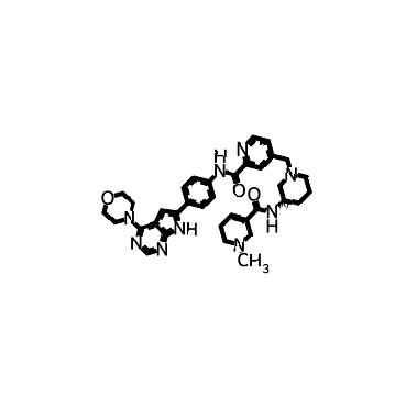 CN1CCC=C(C(=O)N[C@@H]2CCCN(Cc3ccnc(C(=O)Nc4ccc(-c5cc6c(N7CCOCC7)ncnc6[nH]5)cc4)c3)C2)C1